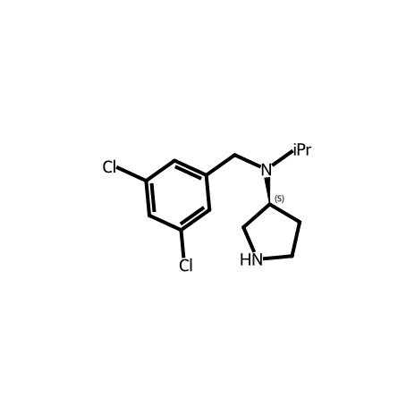 CC(C)N(Cc1cc(Cl)cc(Cl)c1)[C@H]1CCNC1